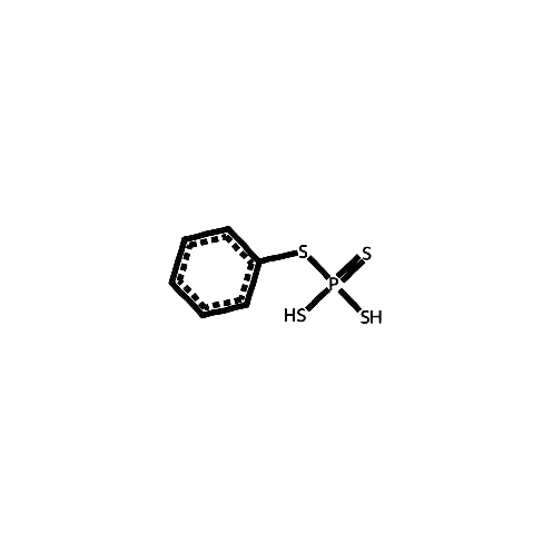 S=P(S)(S)Sc1ccccc1